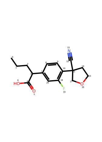 CCCC(C(=O)O)c1ccc(C2(C#N)CCOC2)c(F)c1